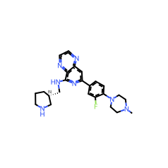 CN1CCN(c2ccc(-c3cc4nccnc4c(NC[C@H]4CCCNC4)n3)cc2F)CC1